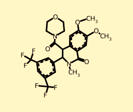 COc1cc2c(cc1OC)C(C(=O)N1CCOCC1)C(c1cc(C(F)(F)F)cc(C(F)(F)F)c1)N(C)C2=O